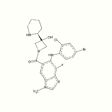 Cn1cnc2c(F)c(Nc3ccc(Br)cc3Cl)c(C(=O)N3CC(O)([C@@H]4CCCCN4)C3)cc21